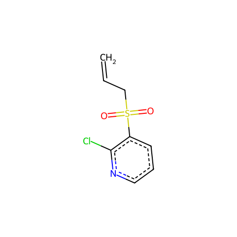 C=CCS(=O)(=O)c1cccnc1Cl